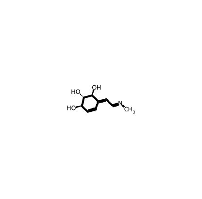 C/N=C/C=C1\C=C[C@@H](O)[C@H](O)[C@H]1O